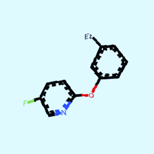 CCc1cccc(Oc2ccc(F)cn2)c1